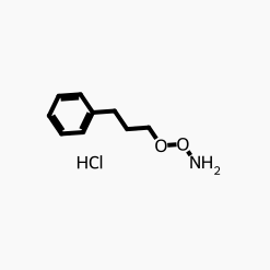 Cl.NOOCCCc1ccccc1